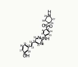 O=S(=O)(c1ccc(Nc2ncc(/C=C/c3cccc(O)c3)cn2)cc1)C1CCNCC1